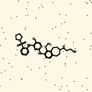 COc1c(Nc2ncc(Cl)c(Nc3ccccc3S(=O)(=O)N3CCCC3)n2)ccc2c1CCC([AsH]CCO)CC2